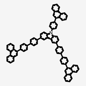 c1ccc2c(c1)cc(-c1ccc(-c3ccc(-c4ccc5c(c4)c4cc(-c6ccc(-c7ccc(-c8cc9ccccc9c9ccccc89)cc7)cc6)ccc4n5-c4ccc(-c5cc6ccccc6c6ccccc56)cc4)cc3)cc1)c1ccccc12